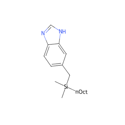 CCCCCCCC[Si](C)(C)Cc1ccc2nc[nH]c2c1